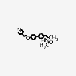 CC(=O)NC(C)Cc1ccc(-c2ccc(OCCc3ccncc3)cc2)cc1